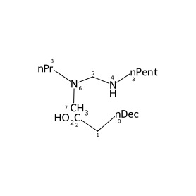 CCCCCCCCCCCC(=O)O.CCCCCNCN(C)CCC